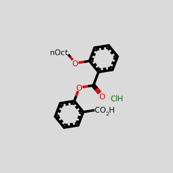 CCCCCCCCOc1ccccc1C(=O)Oc1ccccc1C(=O)O.Cl